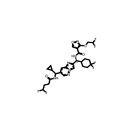 O=C(CCC(F)F)NC(c1cnn2cc([C@@H](NC(=O)c3conc3OCC(F)F)C3CCC(F)(F)CC3)nc2c1)C1CC1